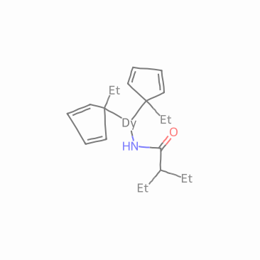 CCC(CC)C(=O)[NH][Dy]([C]1(CC)C=CC=C1)[C]1(CC)C=CC=C1